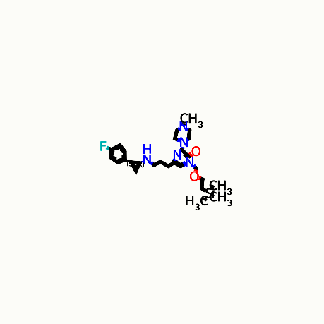 CN1CCN(c2nc(CCCN[C@@H]3C[C@H]3c3ccc(F)cc3)cn(COCC[Si](C)(C)C)c2=O)CC1